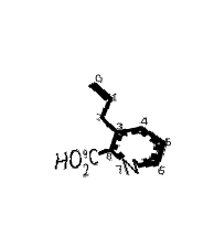 C=CCc1cccnc1C(=O)O